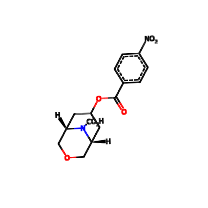 O=C(OC1C[C@H]2COC[C@@H](C1)N2C(=O)O)c1ccc([N+](=O)[O-])cc1